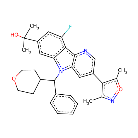 Cc1noc(C)c1-c1cnc2c3c(F)cc(C(C)(C)O)cc3n(C(c3ccccc3)C3CCOCC3)c2c1